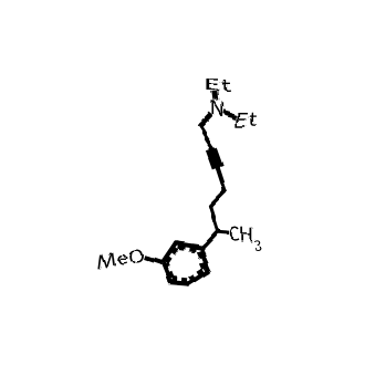 CCN(CC)CC#CCCC(C)c1cccc(OC)c1